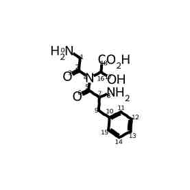 NCC(=O)N(C(=O)C(N)Cc1ccccc1)C(O)C(=O)O